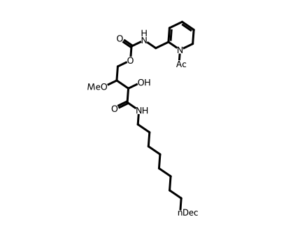 CCCCCCCCCCCCCCCCCCNC(=O)C(O)C(COC(=O)NCC1=CC=CCN1C(C)=O)OC